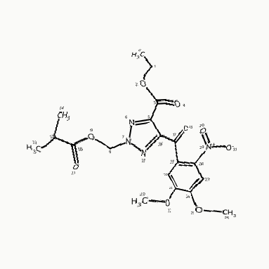 CCOC(=O)c1nn(COC(=O)C(C)C)nc1C(=O)c1cc(OC)c(OC)cc1[N+](=O)[O-]